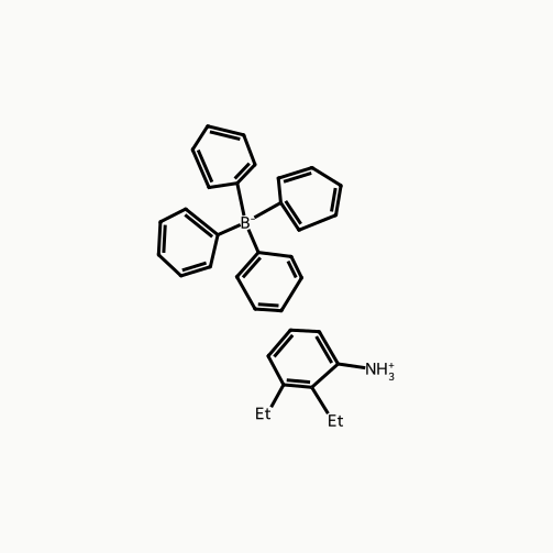 CCc1cccc([NH3+])c1CC.c1ccc([B-](c2ccccc2)(c2ccccc2)c2ccccc2)cc1